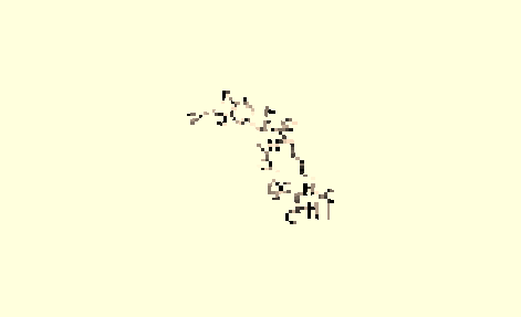 CCCOCC[C@@H](NS(=O)(=O)CCCCCN1CC(=O)NC1=O)c1ccc(F)c(OCC2CC2)c1